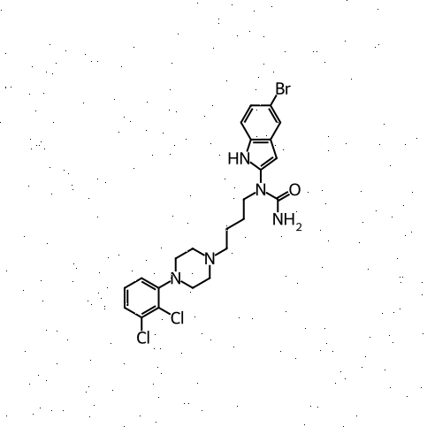 NC(=O)N(CCCCN1CCN(c2cccc(Cl)c2Cl)CC1)c1cc2cc(Br)ccc2[nH]1